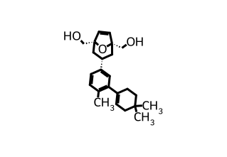 Cc1ccc([C@@H]2C[C@@]3(CO)C=C[C@@](CO)(C2)O3)cc1C1=CCC(C)(C)CC1